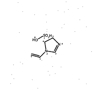 C=CN1C=NCC1.O=S(=O)(O)O